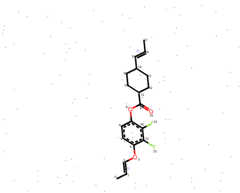 C/C=C/Oc1ccc(OC(=O)C2CCC(/C=C/C)CC2)c(F)c1F